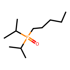 CCCCCP(=O)(C(C)C)C(C)C